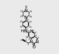 C#CCn1c(=O)ncc2cnc(Nc3ccc(N4CCN(C)CC4)cc3)cc21